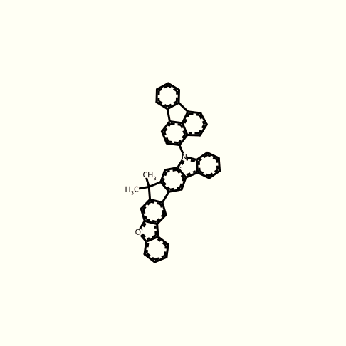 CC1(C)c2cc3oc4ccccc4c3cc2-c2cc3c4ccccc4n(-c4ccc5c6c(cccc46)-c4ccccc4-5)c3cc21